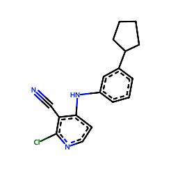 N#Cc1c(Nc2cccc(C3CCCC3)c2)ccnc1Cl